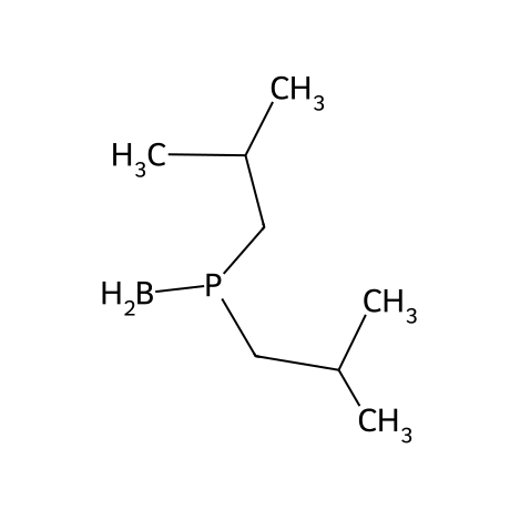 BP(CC(C)C)CC(C)C